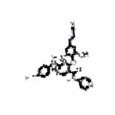 Cc1ccc(Nc2ncc(C(=O)Nc3ccncc3)c(Oc3c(C)cc(/C=C/C#N)cc3C)n2)cc1